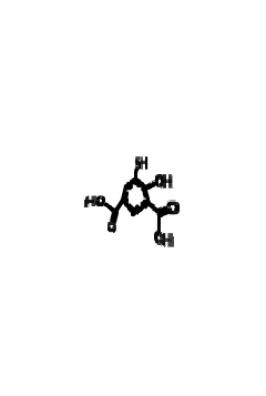 O=C(O)c1cc(S)c(O)c(C(=O)O)c1